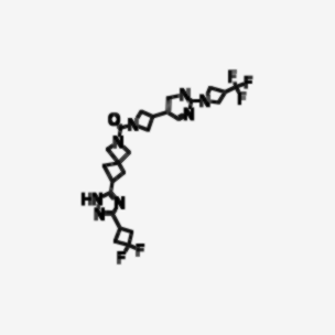 O=C(N1CC(c2cnc(N3CC(C(F)(F)F)C3)nc2)C1)N1CC2(CC(c3nc(C4CC(F)(F)C4)n[nH]3)C2)C1